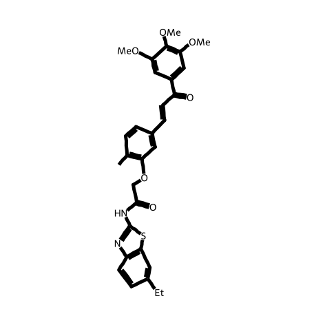 CCc1ccc2nc(NC(=O)COc3cc(/C=C/C(=O)c4cc(OC)c(OC)c(OC)c4)ccc3C)sc2c1